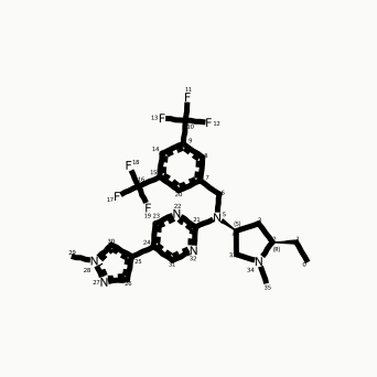 CC[C@@H]1C[C@H](N(Cc2cc(C(F)(F)F)cc(C(F)(F)F)c2)c2ncc(-c3cnn(C)c3)cn2)CN1C